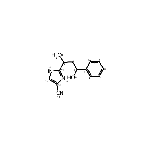 CC(CC(O)c1ccccc1)c1nc(C#N)c[nH]1